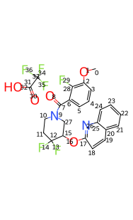 COc1cccc(C(=O)N2CCC(F)(F)C(Oc3ccc4ccccc4n3)C2)c1F.O=C(O)C(F)(F)F